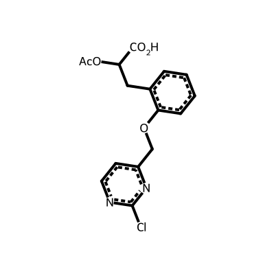 CC(=O)OC(Cc1ccccc1OCc1ccnc(Cl)n1)C(=O)O